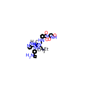 C=Cc1nc(-c2cccnc2N)n(-c2ccc(C3(N)CCC3)cc2)c1N(C)C(C/C=C\CC)NCCNc1cccc2c1C(=O)N(C1CCC(=O)NC1=O)C2=O